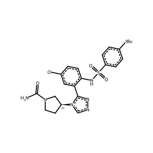 CC(C)(C)c1ccc(S(=O)(=O)Nc2ccc(Cl)cc2-c2nncn2[C@H]2CCN(C(N)=O)C2)cc1